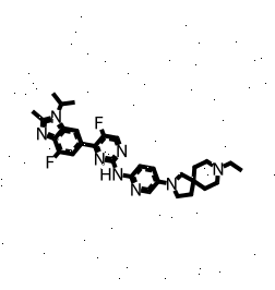 CCN1CCC2(CC1)CCN(c1ccc(Nc3ncc(F)c(-c4cc(F)c5nc(C)n(C(C)C)c5c4)n3)nc1)C2